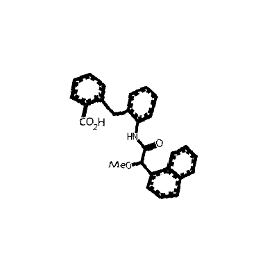 COC(C(=O)Nc1ccccc1Cc1ccccc1C(=O)O)c1cccc2ccccc12